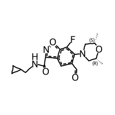 C[C@@H]1CN(c2c(C=O)cc3c(C(=O)NCC4CC4)noc3c2F)C[C@H](C)O1